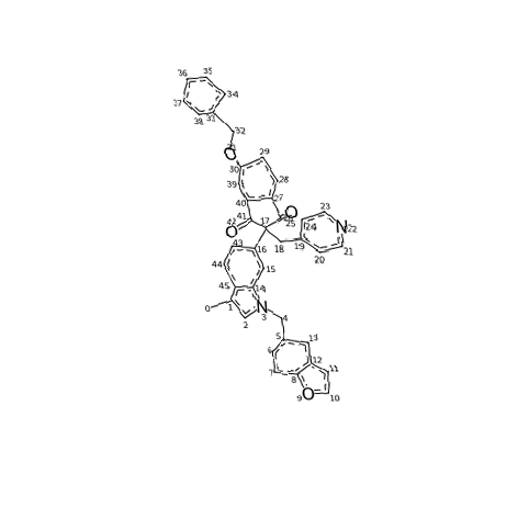 Cc1cn(Cc2ccc3occc3c2)c2cc(C3(Cc4ccncc4)C(=O)c4ccc(OCc5ccccc5)cc4C3=O)ccc12